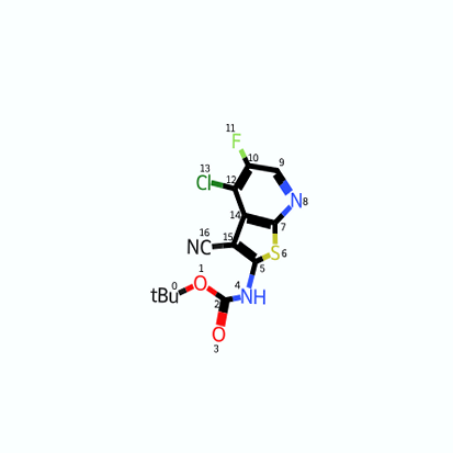 CC(C)(C)OC(=O)Nc1sc2ncc(F)c(Cl)c2c1C#N